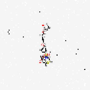 COC(=O)C1N(S(=O)(=O)c2ccc(OCC#CCCOC3CCCCO3)cc2)CCSC1(C)C